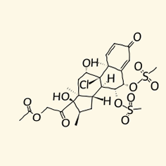 CC(=O)OCC(=O)[C@@]1(O)[C@H](C)C[C@H]2[C@@H]3[C@@H](OS(C)(=O)=O)[C@@H](OS(C)(=O)=O)C4=CC(=O)C=C[C@]4(C)[C@@]3(Cl)[C@@H](O)C[C@@]21C